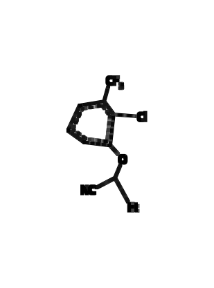 CCC(C#N)Oc1cccc(C(F)(F)F)c1Cl